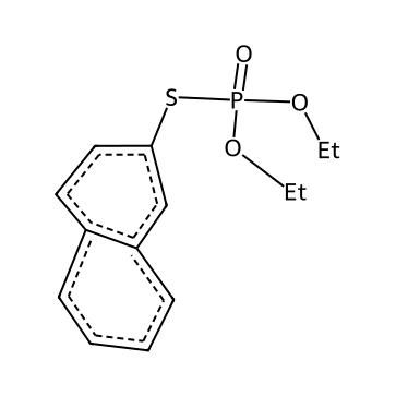 CCOP(=O)(OCC)Sc1ccc2ccccc2c1